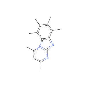 Cc1cc(C)n2c(n1)nc1c(C)c(C)c(C)c(C)c12